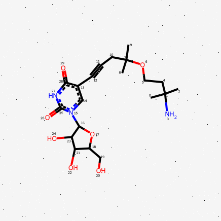 CC(C)(N)CCOC(C)(C)CC#Cc1cn(C2OC(CO)C(O)C2O)c(=O)[nH]c1=O